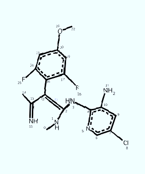 CN/C(Nc1ncc(Cl)cc1N)=C(\C(C)=N)c1c(F)cc(OC)cc1F